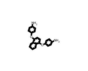 Nc1ccc(Oc2ccc(Oc3ccc(N)cc3)c3ccccc23)cc1